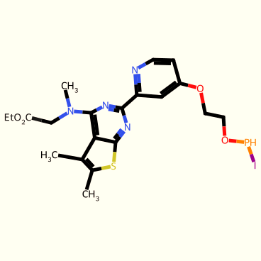 CCOC(=O)CN(C)c1nc(-c2cc(OCCOPI)ccn2)nc2sc(C)c(C)c12